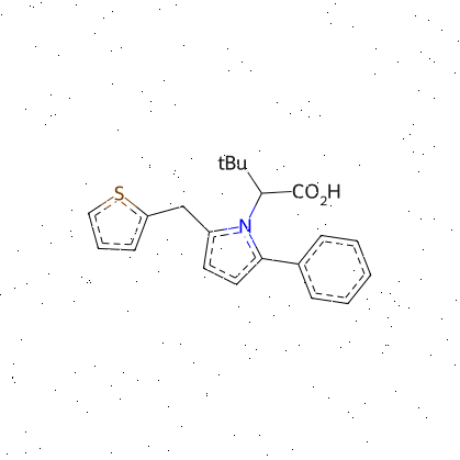 CC(C)(C)C(C(=O)O)n1c(Cc2cccs2)ccc1-c1ccccc1